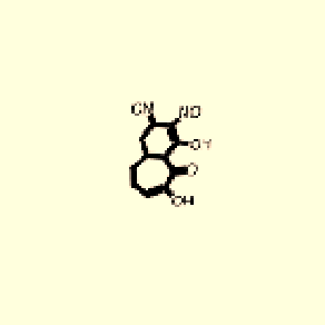 O=NC1=C(O)C2C(=O)C(O)=CCCC2CC1N=O